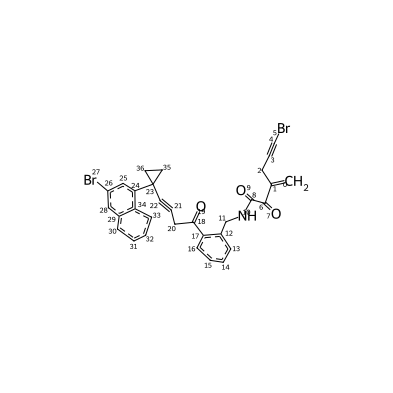 C=C(CC#CBr)C(=O)C(=O)NCc1ccccc1C(=O)CC#CC1(c2cc(Br)cc3ccccc23)CC1